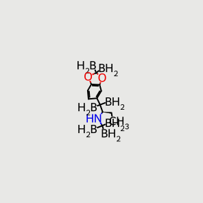 BC(B)(B)N[C@H](CC)C(B)(B)c1ccc2c(c1)OC(B)(B)O2